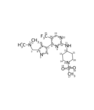 CN(C)Cc1ncc(-c2nc(NC3CCN(S(C)(=O)=O)CC3)ncc2C(F)(F)F)s1